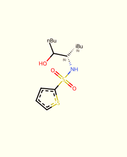 CCCCC(O)[C@@H](NS(=O)(=O)c1cccs1)[C@@H](C)CC